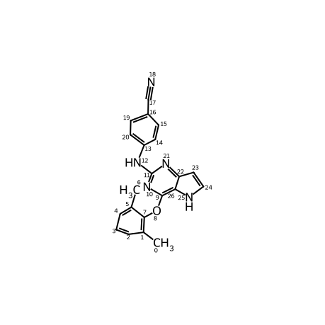 Cc1cccc(C)c1Oc1nc(Nc2ccc(C#N)cc2)nc2cc[nH]c12